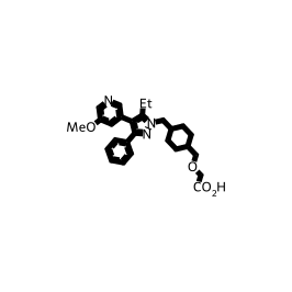 CCc1c(-c2cncc(OC)c2)c(-c2ccccc2)nn1CC1CCC(COCC(=O)O)CC1